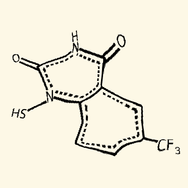 O=c1[nH]c(=O)n(S)c2ccc(C(F)(F)F)cc12